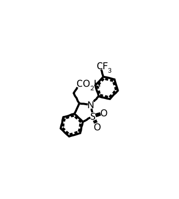 O=C(O)CC1c2ccccc2S(=O)(=O)N1c1cccc(C(F)(F)F)c1